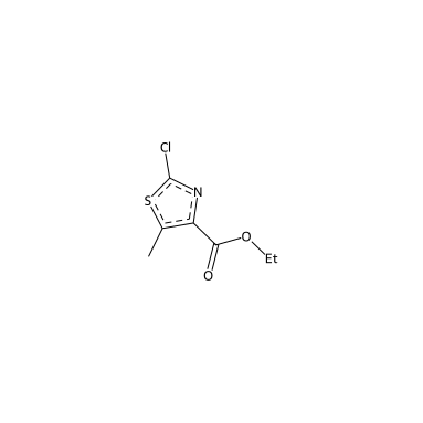 CCOC(=O)c1nc(Cl)sc1C